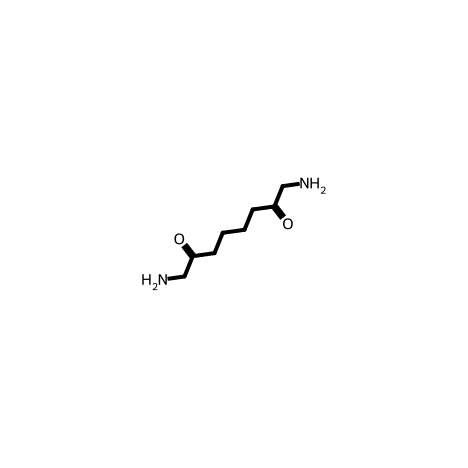 NCC(=O)CCCCC(=O)CN